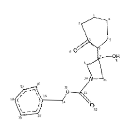 O=C1CCCCC1C1(O)CN(C(=O)OCc2ccccc2)C1